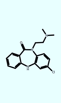 CN(C)CCN1C(=O)c2ccccc2Nc2cc(Cl)ccc21